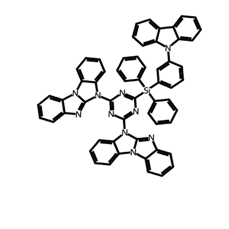 c1ccc([Si](c2ccccc2)(c2cccc(-n3c4ccccc4c4ccccc43)c2)c2nc(-n3c4ccccc4n4c5ccccc5nc34)nc(-n3c4ccccc4n4c5ccccc5nc34)n2)cc1